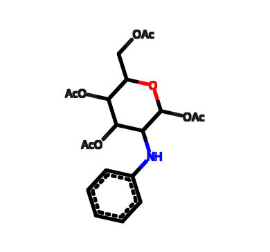 CC(=O)OCC1OC(OC(C)=O)C(Nc2ccccc2)C(OC(C)=O)C1OC(C)=O